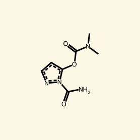 CN(C)C(=O)Oc1ccnn1C(N)=O